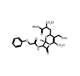 CCOC(=O)C(CC1S[C@H]2C(NC(=O)COc3ccccc3)C(=O)N2C(C(=O)O)=C1COC(C)=O)C(=O)OC